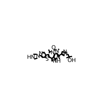 CC(C)n1c(=O)n(C)c2c(-c3cnn(CC(C)(C)O)c3)nc3[nH]cc(-c4cc5cnc(N6CCNCC6)cc5s4)c3c21